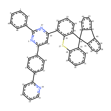 c1ccc(-c2nc(-c3ccc(-c4ccccn4)cc3)cc(-c3cccc4c3Sc3ccccc3C43c4ccccc4-c4ccccc43)n2)cc1